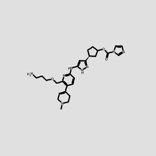 CN1CC=C(c2ccc(Nc3cc([C@H]4CCC(OC(=O)n5ccnc5)C4)n[nH]3)nc2COCCCN)CC1